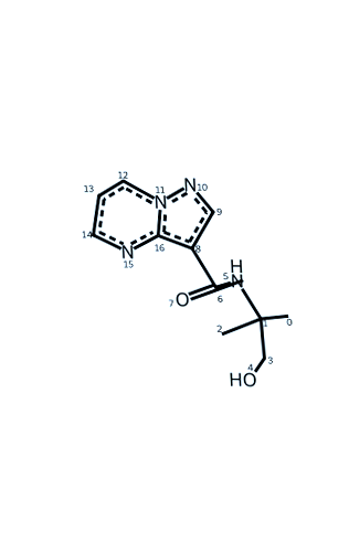 CC(C)(CO)NC(=O)c1cnn2cccnc12